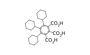 O=C(O)c1c(C(=O)O)c(C2CCCCC2)c(C2CCCCC2)c(C2CCCCC2)c1C(=O)O